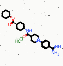 Cl.Cl.N=C(N)c1ccc(N2CCC(C(=O)N[C@H]3CC[C@H](C(=O)OC4CCCCC4)CC3)CC2)cc1